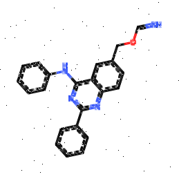 N=COCc1ccc2nc(-c3ccccc3)nc(Nc3ccccc3)c2c1